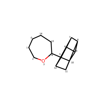 C1CCOC(C23C4C5C6C4C2C6C53)CC1